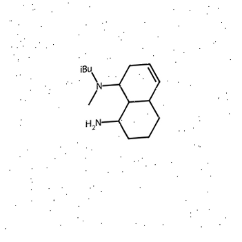 CCC(C)N(C)C1CC=CC2CCCC(N)C21